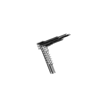 O=C(O)O.O=C(O)O.O=C(O)O.O=C(O)O.O=C(O)O.O=C(O)O.O=C(O)O.O=C(O)O.O=C(O)O.O=C(O)O.O=C([O-])[O-].O=C([O-])[O-].O=C([O-])[O-].O=C([O-])[O-].O=C([O-])[O-].O=C([O-])[O-].O=C([O-])[O-].O=C([O-])[O-].O=C([O-])[O-].O=C([O-])[O-].O=C([O-])[O-].O=C([O-])[O-].O=C([O-])[O-].O=C([O-])[O-].O=C([O-])[O-].O=C([O-])[O-].O=C([O-])[O-].O=C([O-])[O-].O=C([O-])[O-].O=C([O-])[O-].[Ca+2].[Ca+2].[Ca+2].[Ca+2].[Ca+2].[Ca+2].[Ca+2].[Ca+2].[Ca+2].[Ca+2].[Ca+2].[Ca+2].[Ca+2].[Ca+2].[Ca+2].[Ca+2].[Ca+2].[Ca+2].[Ca+2].[Ca+2]